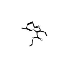 CCOC(=O)c1c(CC)nc2ccc(C)cn12